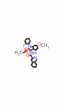 CCC(=O)OC1(NC(=O)c2cc3ccccc3cn2)C(=O)N(c2ccccc2F)c2cc(OC)ccc21